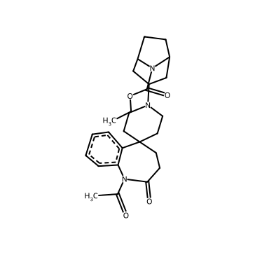 CCOC(=O)N1C2CCC1CC(N1CCC3(CCC(=O)N(C(C)=O)c4ccccc43)CC1)C2